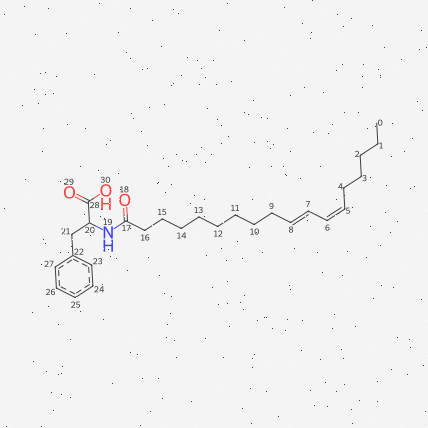 CCCCC/C=C\C=C\CCCCCCCCC(=O)NC(Cc1ccccc1)C(=O)O